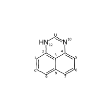 [c]1cc2c3c(cccc3c1)N=CN2